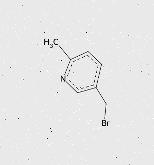 Cc1ccc(CBr)cn1